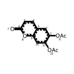 CC(=O)Oc1cc2ccc(=O)oc2cc1OC(C)=O